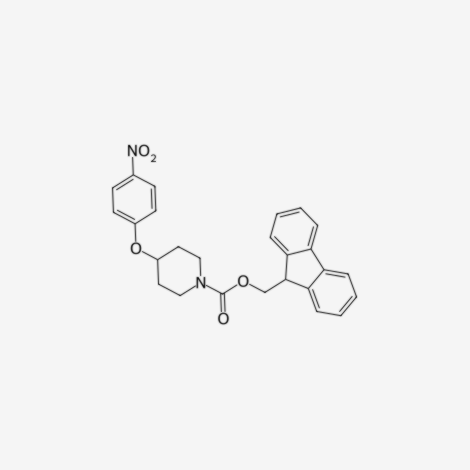 O=C(OCC1c2ccccc2-c2ccccc21)N1CCC(Oc2ccc([N+](=O)[O-])cc2)CC1